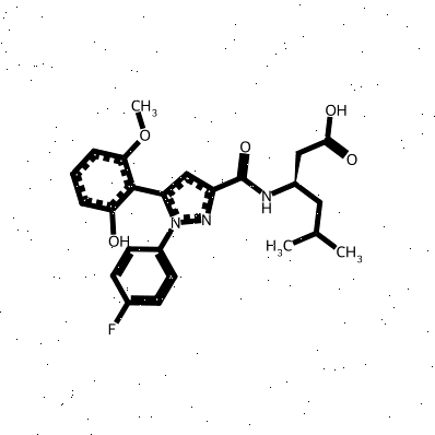 COc1cccc(O)c1-c1cc(C(=O)N[C@@H](CC(=O)O)CC(C)C)nn1C1=C=C=C(F)C=C1